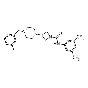 Cc1cccc(CN2CCN(C3CN(C(=O)Nc4cc(C(F)(F)F)cc(C(F)(F)F)c4)C3)CC2)c1